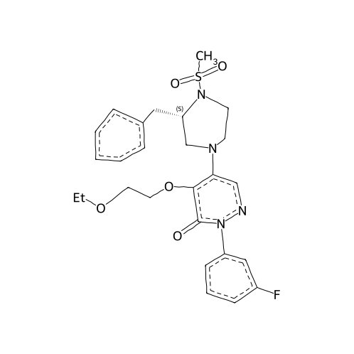 CCOCCOc1c(N2CCN(S(C)(=O)=O)[C@@H](Cc3ccccc3)C2)cnn(-c2cccc(F)c2)c1=O